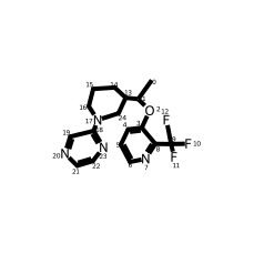 CC(Oc1cccnc1C(F)(F)F)C1CCCN(c2cnccn2)C1